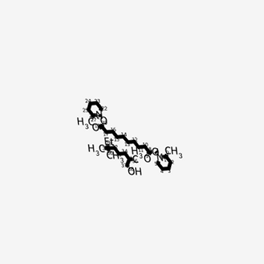 CC1CCCCN1OC(=O)CCCCCCCCC(=O)ON1CCCCC1C.CCC(C)(C)CCCC(C)CO